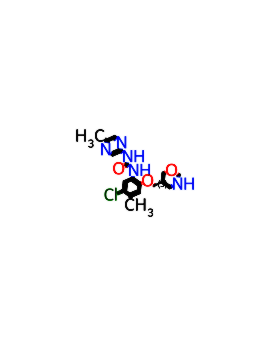 Cc1cnc(NC(=O)Nc2cc(Cl)c(C)cc2OC[C@@H]2CNCOC2)cn1